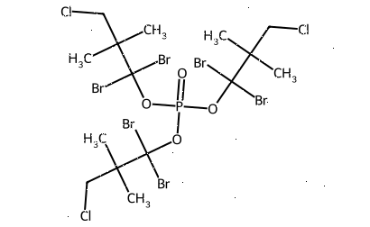 CC(C)(CCl)C(Br)(Br)OP(=O)(OC(Br)(Br)C(C)(C)CCl)OC(Br)(Br)C(C)(C)CCl